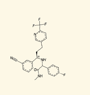 CNC(=O)C(N[C@H](CCc1ccc(C(F)(F)F)nc1)c1cccc(C#N)c1)c1ccc(F)cc1